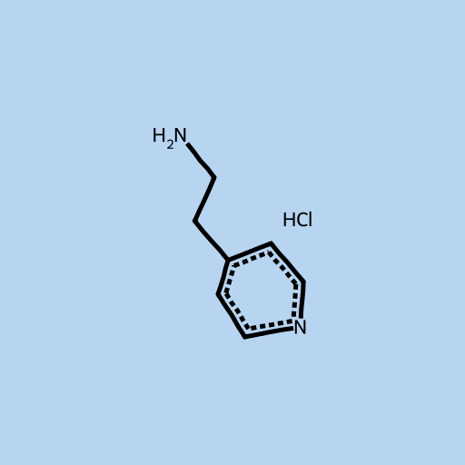 Cl.NCCc1ccncc1